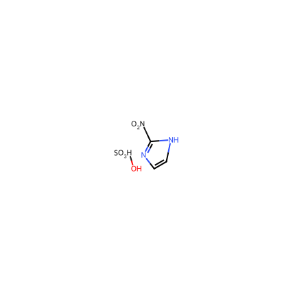 O=S(=O)(O)O.O=[N+]([O-])c1ncc[nH]1